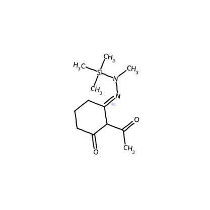 CC(=O)C1C(=O)CCC/C1=N\N(C)[Si](C)(C)C